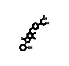 CN/C=C(\C=N)c1ccc(Cc2cc3c(c(C)c2C)CN([C@H]2CCCC[C@@H]2O)C3=O)cn1